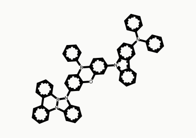 c1ccc(B2c3ccc(N4B5c6ccccc6-c6ccccc6N5c5ccccc54)cc3Oc3cc(-n4c5ccccc5c5cc(N(c6ccccc6)c6ccccc6)ccc54)ccc32)cc1